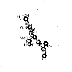 COc1nc2[nH]cc(F)c2cc1Oc1cc(N2CCC3(CC2)CN(C2CCN(Cc4ccc(F)c(F)c4)CC2c2ccccc2C(C)C)C3)ccc1C(=O)NS(=O)(=O)c1cnc(NCC2CCC(C)(O)CC2)c([N+](=O)[O-])c1